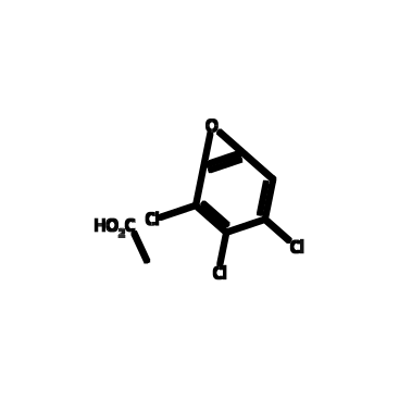 CC(=O)O.Clc1cc2c(c(Cl)c1Cl)O2